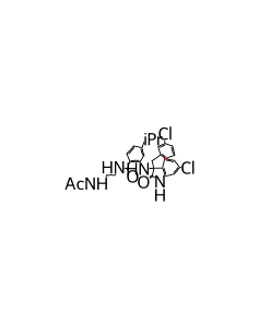 CC(=O)NCCNC(=O)c1ccc(C(C)C)cc1NC1(Cc2cccc(Cl)c2)C(=O)Nc2cc(Cl)ccc21